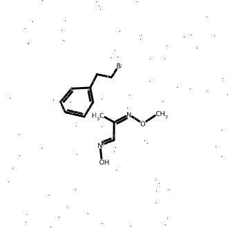 CON=C(C)C=NO.[B]CCc1ccccc1